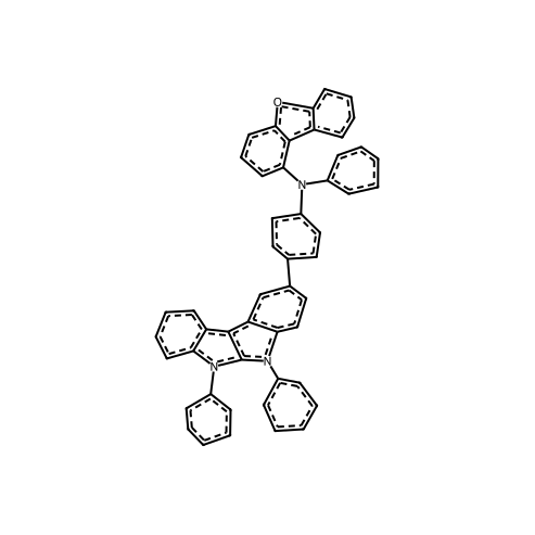 c1ccc(N(c2ccc(-c3ccc4c(c3)c3c5ccccc5n(-c5ccccc5)c3n4-c3ccccc3)cc2)c2cccc3oc4ccccc4c23)cc1